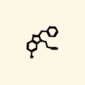 COCCn1c(Cc2ccccc2)nc2ccc(Br)cc21